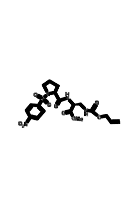 C=CCOC(=O)NC[C@H](NC(=O)C1CCCN1S(=O)(=O)c1ccc([N+](=O)[O-])cc1)C(=O)OC